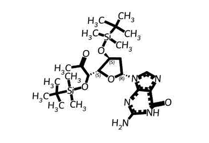 CC(=O)C(O[Si](C)(C)C(C)(C)C)[C@H]1O[C@@H](n2cnc3c(=O)[nH]c(N)nc32)C[C@@H]1O[Si](C)(C)C(C)(C)C